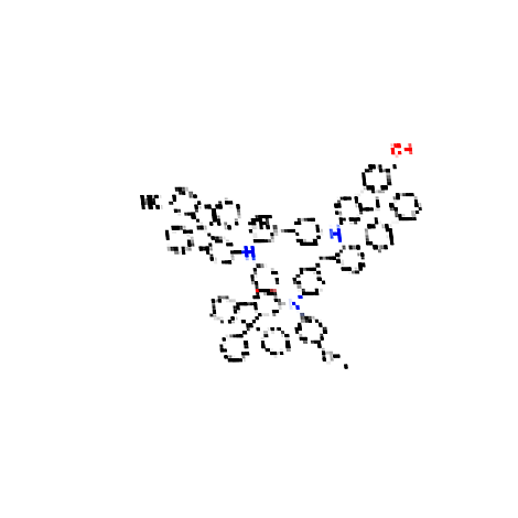 Cc1ccc(N(c2ccc(Cc3ccccc3N(c3ccc(-c4cccc(N(c5ccccc5)c5ccc6c(c5)C5(c7ccccc7-6)c6cc(C#N)ccc6-c6ccc(C#N)cc65)c4)cc3)c3ccc4c(c3)C3(c5ccccc5-c5ccccc53)c3cc(CO)ccc3-4)cc2)c2ccc3c(c2)C2(c4ccccc4-c4ccccc42)c2ccccc2-3)cc1